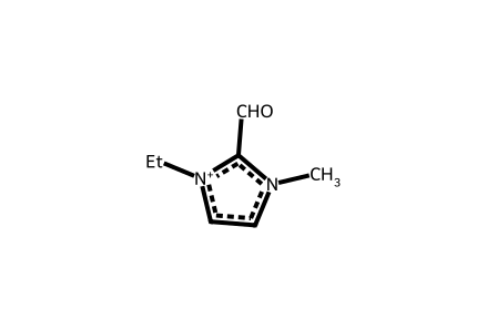 CC[n+]1ccn(C)c1C=O